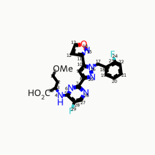 COCCC(Nc1nc(-c2cc(-c3ccon3)n(Cc3ccccc3F)n2)ncc1F)C(=O)O